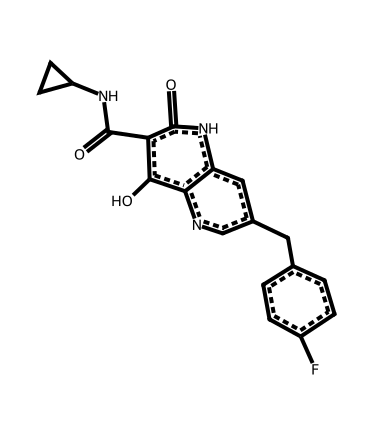 O=C(NC1CC1)c1c(O)c2ncc(Cc3ccc(F)cc3)cc2[nH]c1=O